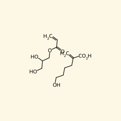 C=C(CCCCO)C(=O)O.C=CC(=O)OCC(O)CO